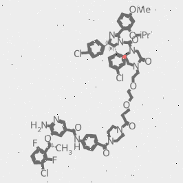 COc1ccc(C2=N[C@@H](c3ccc(Cl)cc3)[C@@H](c3ccc(Cl)cc3)N2C(=O)N2CCN(CCOCCOCCC(=O)N3CCN(C(=O)c4ccc(NC(=O)c5cnc(N)c(O[C@H](C)c6c(F)ccc(Cl)c6F)c5)cc4)CC3)C(=O)C2)c(OC(C)C)c1